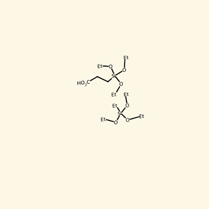 CCO[Si](CC)(OCC)OCC.CCO[Si](CCC(=O)O)(OCC)OCC